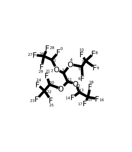 FC(OC(OC(F)C(F)(F)F)C(OC(F)C(F)(F)F)OC(F)C(F)(F)F)C(F)(F)F